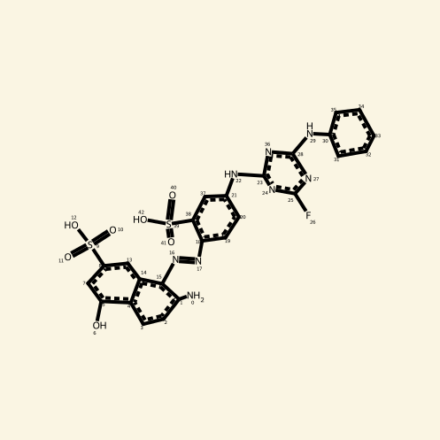 Nc1ccc2c(O)cc(S(=O)(=O)O)cc2c1N=Nc1ccc(Nc2nc(F)nc(Nc3ccccc3)n2)cc1S(=O)(=O)O